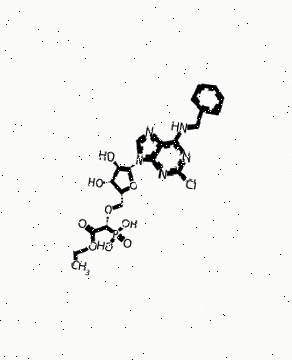 CCOC(=O)[C@H](OC[C@H]1O[C@@H](n2cnc3c(NCc4ccccc4)nc(Cl)nc32)[C@H](O)[C@H]1O)P(=O)(O)O